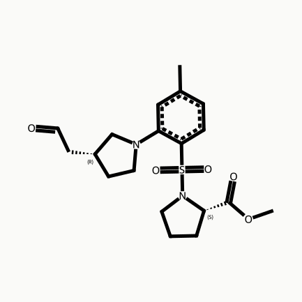 COC(=O)[C@@H]1CCCN1S(=O)(=O)c1ccc(C)cc1N1CC[C@H](CC=O)C1